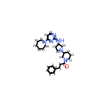 O=C(CCc1ccccc1)N1CCCC(N2CCC(Nc3nccc(N4CCCCCC4)n3)C2)C1